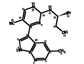 Cc1cnc2[nH]cc(C3=NC(N[C@@H](CO)C(C)C)NC=C3C#N)c2c1